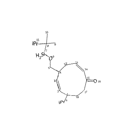 CC(C)C1/C=C\C(CO[SiH2]C(C)(C)C(C)C)C/C=C\C(=O)CC1